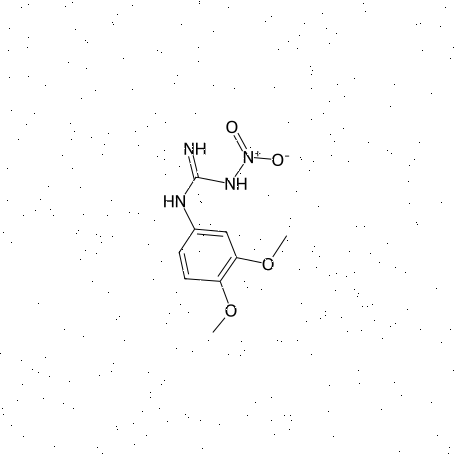 COc1ccc(NC(=N)N[N+](=O)[O-])cc1OC